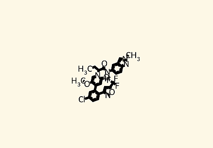 CCC(C(=O)Nc1ccc2nn(C)cc2c1)n1cc(OC)c(-c2cc(Cl)ccc2-c2cc(C(F)(F)F)on2)cc1=O